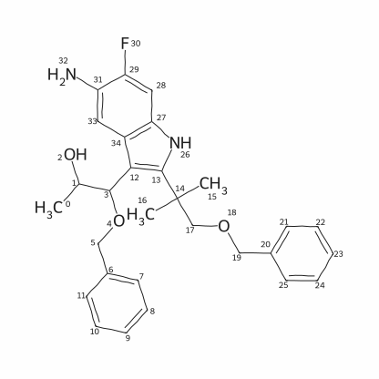 CC(O)C(OCc1ccccc1)c1c(C(C)(C)COCc2ccccc2)[nH]c2cc(F)c(N)cc12